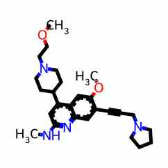 CNc1cc(C2CCN(CCOC)CC2)c2cc(OC)c(C#CCN3CCCC3)cc2n1